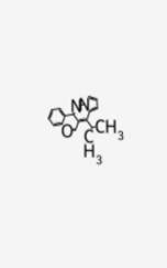 CC(C)c1c(C=O)c(-c2ccccc2)nn2cccc12